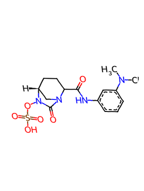 CN(C)c1cccc(NC(=O)C2CC[C@@H]3CN2C(=O)N3OS(=O)(=O)O)c1